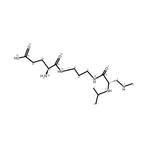 CNC[C@H](NC(C)C)C(=O)NCCCNC(=O)[C@@H](N)CCC(=O)O